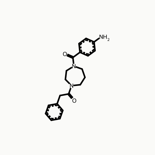 Nc1ccc(C(=O)N2CCCN(C(=O)Cc3ccccc3)CC2)cc1